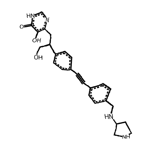 O=c1[nH]cnc(CC(CO)c2ccc(C#Cc3ccc(CNC4CCNC4)cc3)cc2)c1O